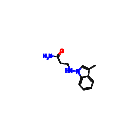 Cc1cn(NCCC(N)=O)c2ccccc12